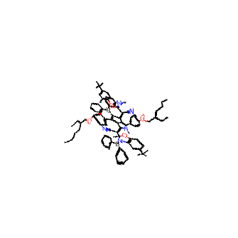 CCCCC(CC)COc1ccc(C2=c3c(c(-c4ccc(OCC(CC)CCCC)cc4)n(C)/c3=C(/C#N)C3(C)Oc4ccc(C(C)(C)C)cc4N3B(c3ccccc3)c3ccccc3)/C(=C(C#N)/C(=N\C)Oc3ccc(C(C)(C)C)cc3C)C2B(c2ccccc2)c2ccccc2)cc1